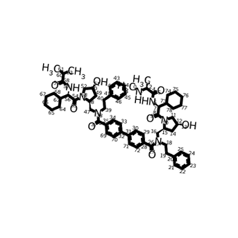 CN[C@@H](C)C(=O)N[C@H](C(=O)N1C[C@@H](O)C[C@H]1CN(CCc1ccccc1)C(=O)c1ccc(-c2ccc(C(=O)N(CCc3ccccc3)C[C@@H]3C[C@H](O)CN3C(=O)[C@@H](NC(=O)C(C)C)C3CCCCC3)cc2)cc1)C1CCCCC1